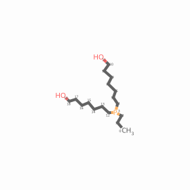 CCCP(CCCCCCCO)CCCCCCCO